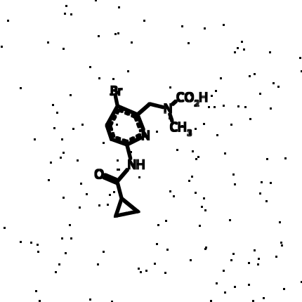 CN(Cc1nc(NC(=O)C2CC2)ccc1Br)C(=O)O